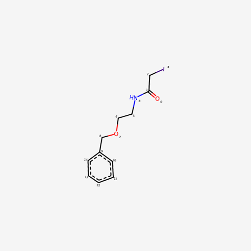 O=C(CI)NCCOCc1ccccc1